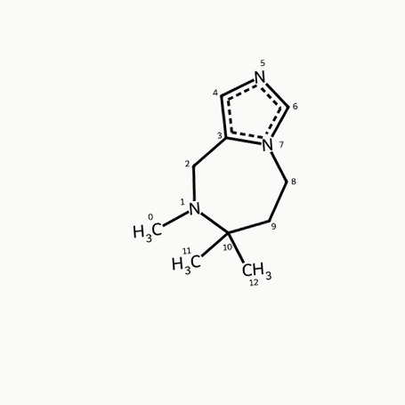 CN1Cc2cncn2CCC1(C)C